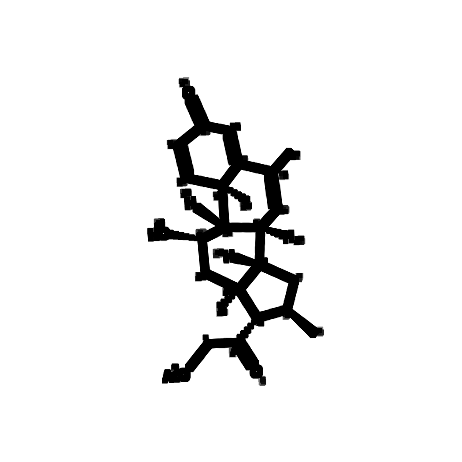 CC(=O)OCC(=O)[C@H]1[C@H](C)C[C@H]2[C@@H]3C=C(C)C4=CC(=O)C=C[C@]4(C)[C@H]3[C@@H](O)C[C@@]21C